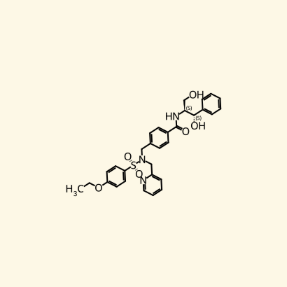 CCOc1ccc(S(=O)(=O)N(Cc2ccc(C(=O)N[C@@H](CO)[C@@H](O)c3ccccc3)cc2)Cc2ccccn2)cc1